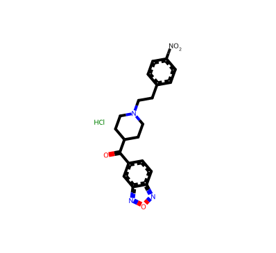 Cl.O=C(c1ccc2nonc2c1)C1CCN(CCc2ccc([N+](=O)[O-])cc2)CC1